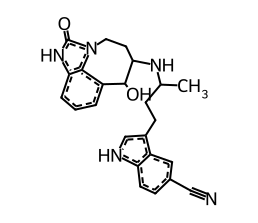 CC(CCc1c[nH]c2ccc(C#N)cc12)NC1CCn2c(=O)[nH]c3cccc(c32)C1O